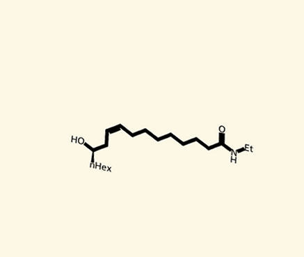 CCCCCC[C@@H](O)C/C=C\CCCCCCCC(=O)NCC